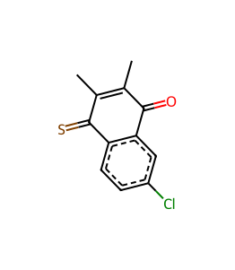 CC1=C(C)C(=S)c2ccc(Cl)cc2C1=O